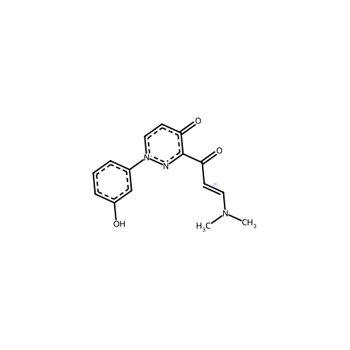 CN(C)/C=C/C(=O)c1nn(-c2cccc(O)c2)ccc1=O